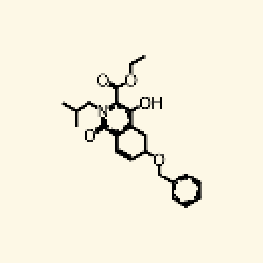 CCOC(=O)c1c(O)c2c(c(=O)n1CC(C)C)C=CC(OCc1ccccc1)C2